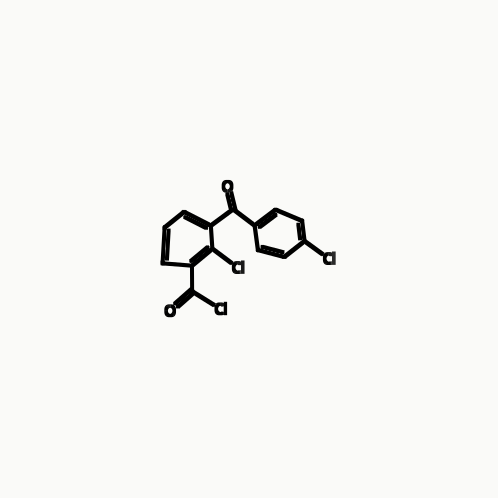 O=C(Cl)c1cccc(C(=O)c2ccc(Cl)cc2)c1Cl